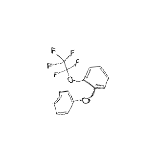 FC(F)(F)C(F)(F)Oc1ccccc1Oc1cc[c]cc1